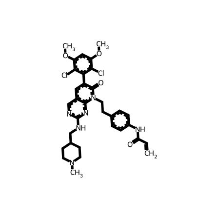 C=CC(=O)Nc1ccc(CCn2c(=O)c(-c3c(Cl)c(OC)cc(OC)c3Cl)cc3cnc(NCC4CCN(C)CC4)nc32)cc1